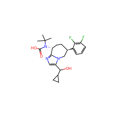 CC(C)(C)N(C(=O)O)[C@@H]1CC[C@@H](c2cccc(F)c2F)Cn2c(C(O)C3CC3)cnc21